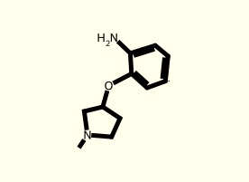 CN1CCC(Oc2c[c]ccc2N)C1